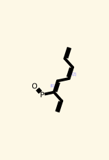 C=C/C=C\C=C(/C=C)P=O